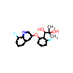 CC(C)(O)C(O)c1c(F)cccc1Oc1cnc2c(F)cccc2c1